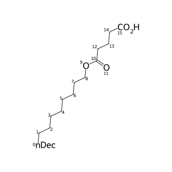 CCCCCCCCCCCCCCCCCCOC(=O)CCCC(=O)O